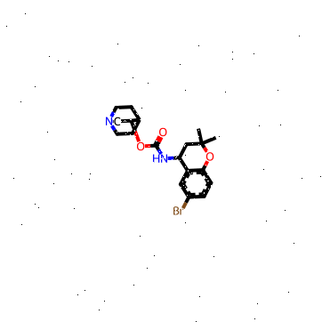 CC1(C)CC(NC(=O)OC2CN3CCC2CC3)c2cc(Br)ccc2O1